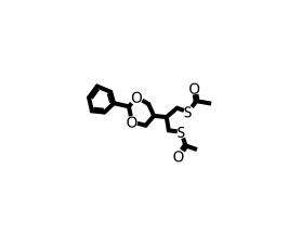 CC(=O)SCC(CSC(C)=O)C1COC(c2ccccc2)OC1